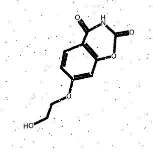 O=c1[nH]c(=O)c2ccc(OCCO)cc2o1